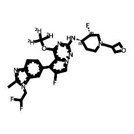 [2H]C([2H])([2H])Oc1nc(N[C@H]2CCN(C3COC3)C[C@H]2F)nn2cc(F)c(-c3ccc4nc(C)n(CC(F)F)c4c3)c12